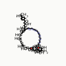 CNc1ccc(C(=O)CC(O)CCC(C)C2OC(=O)CC(O)CC(O)CCCC(O)CC(O)CC(O)CC3(O)CC(O)C(C(=O)O)[C@H](CC(OC4O[C@H](C)[C@@H](O)[C@H](N)[C@H]4O)/C=C/C=C/C=C/C=C\C=C/C=C/C=C/C2C)O3)cc1